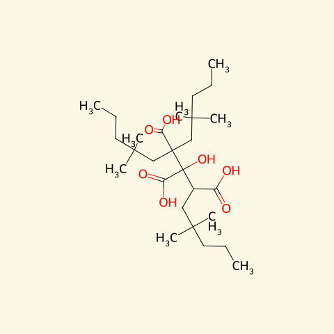 CCCC(C)(C)CC(C(=O)O)C(O)(C(=O)O)C(CC(C)(C)CCC)(CC(C)(C)CCC)C(=O)O